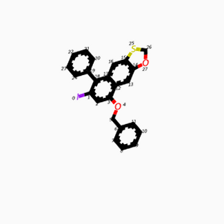 Ic1cc(OCc2ccccc2)c2cc3c(cc2c1-c1ccccc1)SCO3